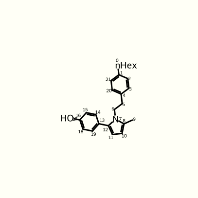 CCCCCCc1ccc(CCn2c(C)ccc2-c2ccc(O)cc2)cc1